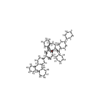 c1ccc(-c2ccc3c(c2)c2ccccc2n3-c2ccccc2-c2nc(-c3ccccc3)nc(-c3ccc4c5ccccc5c5ccccc5c4c3)n2)cc1